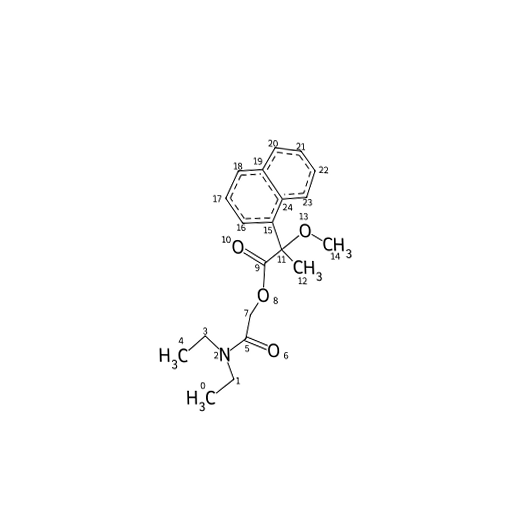 CCN(CC)C(=O)COC(=O)C(C)(OC)c1cccc2ccccc12